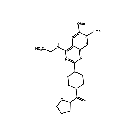 COc1cc2nc(N3CCN(C(=O)C4CCCO4)CC3)nc(NCC(=O)O)c2cc1OC